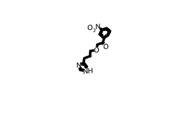 O=C(COCCCc1c[nH]cn1)c1cccc([N+](=O)[O-])c1